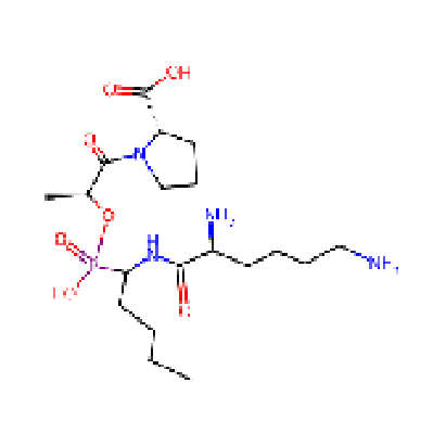 CCCCC(NC(=O)[C@@H](N)CCCCN)P(=O)(O)O[C@@H](C)C(=O)N1CCC[C@H]1C(=O)O